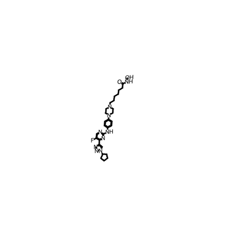 O=C(CCCCCCN1CCN(c2ccc(Nc3ncc(F)c(-c4cn(C5CCCC5)nn4)n3)cc2)CC1)NO